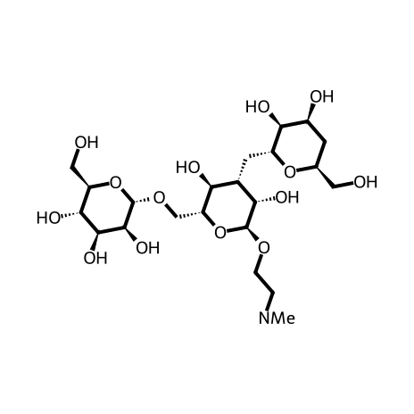 CNCCO[C@H]1O[C@H](CO[C@H]2O[C@H](CO)[C@@H](O)[C@H](O)[C@@H]2O)[C@@H](O)[C@H](C[C@H]2O[C@H](CO)C[C@H](O)[C@@H]2O)[C@@H]1O